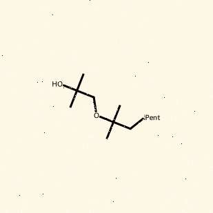 CCCC(C)CC(C)(C)OCC(C)(C)O